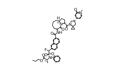 CCCOC(=O)[C@H](C)NP(=O)(Oc1ccccc1)C(F)c1ccc2ccc(C(=O)N[C@H]3CCCC[C@H]4CC[C@@H](C(=O)N5C[C@H](c6ccn(C)c(=O)c6)CC56CC6)N4C3=O)cc2c1